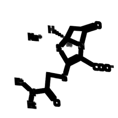 CCN(CC)C(=O)CSC1=C(C(=O)[O-])N2C(=O)C[C@@H]2S1.[Na+]